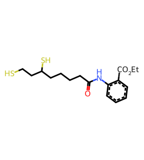 CCOC(=O)c1ccccc1NC(=O)CCCCC(S)CCS